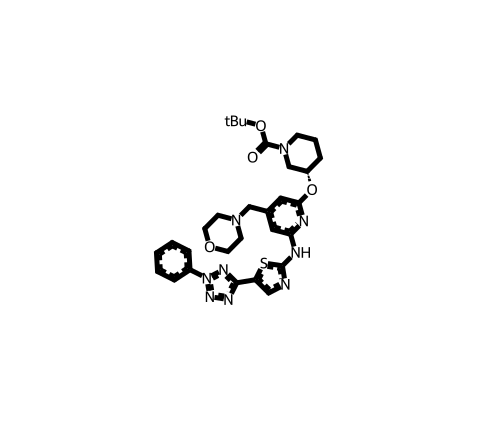 CC(C)(C)OC(=O)N1CCC[C@H](Oc2cc(CN3CCOCC3)cc(Nc3ncc(-c4nnn(-c5ccccc5)n4)s3)n2)C1